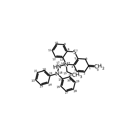 C=C1C=CC2=C(C1)Sc1ccccc1[N+]2(CC)NN(c1ccccc1)c1ccccc1